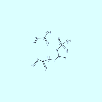 C=CC(=O)NCC(C)CS(=O)(=O)O.C=CC(=O)O